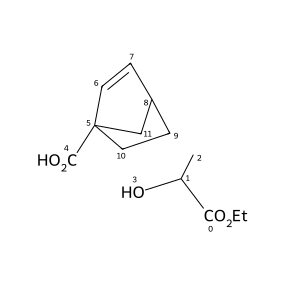 CCOC(=O)C(C)O.O=C(O)C12C=CC(CC1)C2